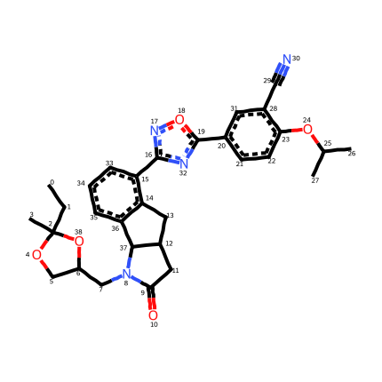 CCC1(C)OCC(CN2C(=O)CC3Cc4c(-c5noc(-c6ccc(OC(C)C)c(C#N)c6)n5)cccc4C32)O1